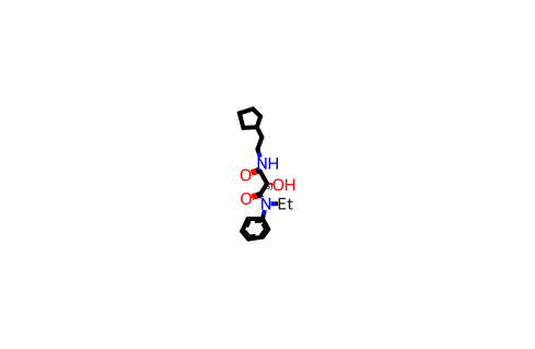 CCN(C(=O)[C@@H](O)C(=O)NCCC1CCCC1)c1ccccc1